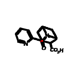 O=C(O)C1CCC2CC1N2C(=O)c1ccccn1